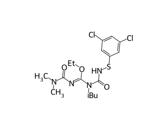 CCOC(=NC(=O)N(C)C)N(C(=O)NSc1cc(Cl)cc(Cl)c1)C(C)CC